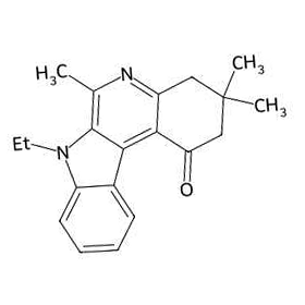 CCn1c2ccccc2c2c3c(nc(C)c21)CC(C)(C)CC3=O